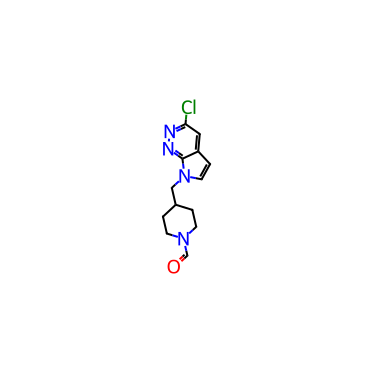 O=CN1CCC(Cn2ccc3cc(Cl)nnc32)CC1